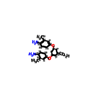 Cc1cc(Oc2cc(Oc3ccc(N)c(C)c3)cc(C(=O)O)c2)ccc1N